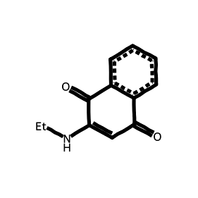 CCNC1=CC(=O)c2ccccc2C1=O